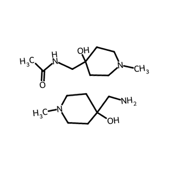 CC(=O)NCC1(O)CCN(C)CC1.CN1CCC(O)(CN)CC1